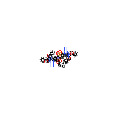 O=S(=O)([O-])c1cc(Nc2nc(Oc3ccccc3)cc(Oc3ccccc3)n2)ccc1/C=C/c1ccc(Nc2nc(Oc3ccccc3)cc(Oc3ccccc3)n2)cc1S(=O)(=O)[O-].[Na+].[Na+]